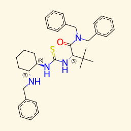 CC(C)(C)[C@H](NC(=S)N[C@@H]1CCCC[C@H]1NCc1ccccc1)C(=O)N(Cc1ccccc1)Cc1ccccc1